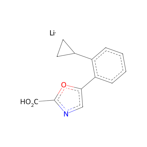 O=C(O)c1ncc(-c2ccccc2C2CC2)o1.[Li]